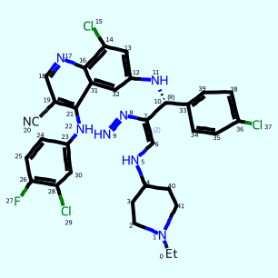 CCN1CCC(N/C=C(\N=N)[C@H](Nc2cc(Cl)c3ncc(C#N)c(Nc4ccc(F)c(Cl)c4)c3c2)c2ccc(Cl)cc2)CC1